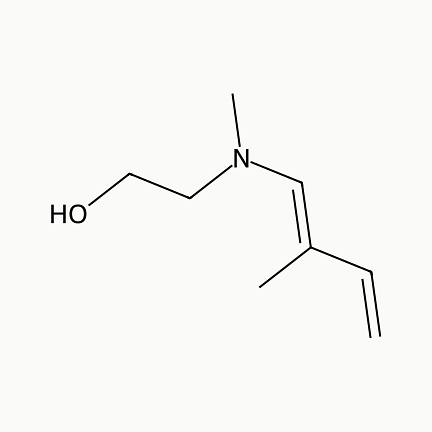 C=C/C(C)=C/N(C)CCO